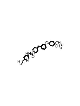 Cc1ccc(NC(=O)N2CCC(=Cc3cccc(OC4CCC(C)(C)CC4)c3)CC2)cn1